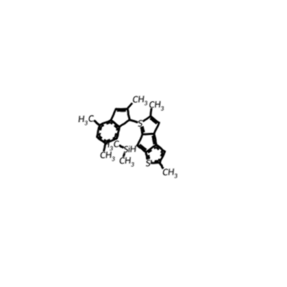 CC1=Cc2c(C)cc(C)cc2C1S1=C2C(=c3cc(C)sc3=C2[SiH](C)C)C=C1C